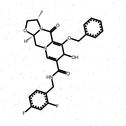 C[C@H]1CO[C@@H]2CN3C=C(C(=O)NCc4ccc(F)cc4F)C(O)C(OCc4ccccc4)=C3C(=O)N12